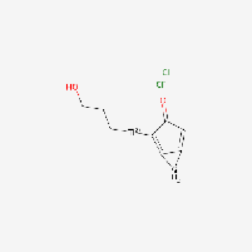 O=C1C=C2[SiH2]C2=[C]1[Ti+2][CH2]CCO.[Cl-].[Cl-]